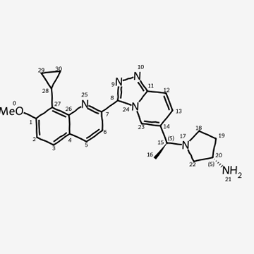 COc1ccc2ccc(-c3nnc4ccc([C@H](C)N5CC[C@H](N)C5)cn34)nc2c1C1CC1